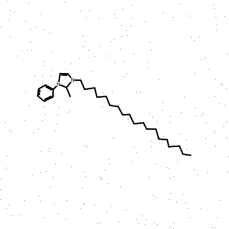 CCCCCCCCCCCCCCCCCCCN1C=CN(c2ccccc2)C1C